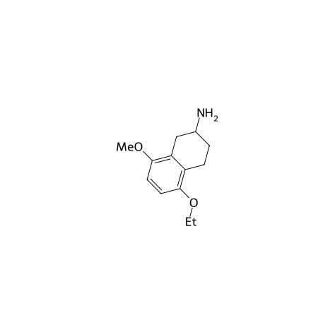 CCOc1ccc(OC)c2c1CCC(N)C2